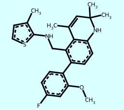 COc1cc(F)ccc1-c1ccc2c(c1CNc1sccc1C)C(C)=CC(C)(C)N2